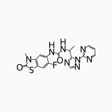 CC(NC(=O)Nc1cc2c(cc1F)sc(=O)n2C)c1ncnn1-c1ncccn1